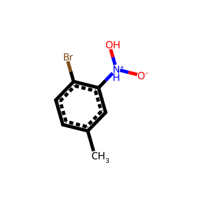 Cc1ccc(Br)c([NH+]([O-])O)c1